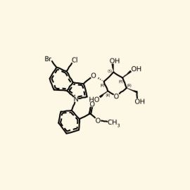 COC(=O)c1ccccc1-n1cc(O[C@@H]2[C@@H](O)[C@@H](O)[C@@H](CO)O[C@H]2O)c2c(Cl)c(Br)ccc21